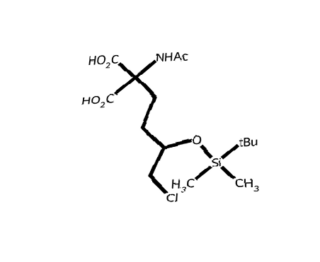 CC(=O)NC(CCC(CCl)O[Si](C)(C)C(C)(C)C)(C(=O)O)C(=O)O